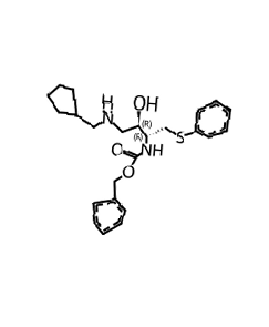 O=C(N[C@@H](CSc1ccccc1)[C@H](O)CNCC1CCCC1)OCc1ccccc1